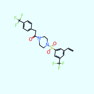 C=Cc1cc(C(F)(F)F)cc(S(=O)(=O)N2CCN(C(=O)Cc3ccc(C(F)(F)F)cc3)CC2)c1